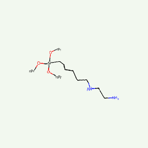 CCCO[Si](CCCCCNCCN)(OCCC)OCCC